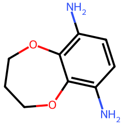 Nc1ccc(N)c2c1OCCCO2